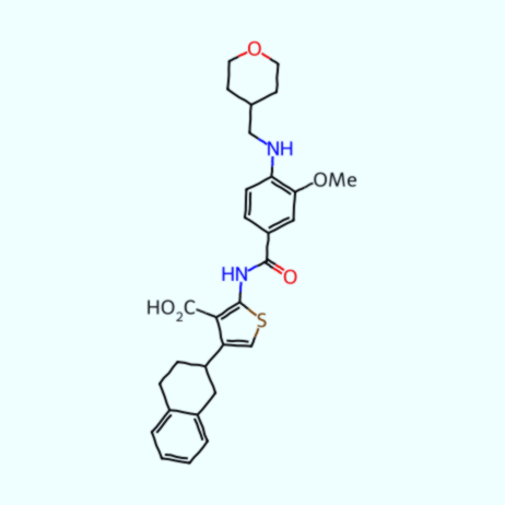 COc1cc(C(=O)Nc2scc(C3CCc4ccccc4C3)c2C(=O)O)ccc1NCC1CCOCC1